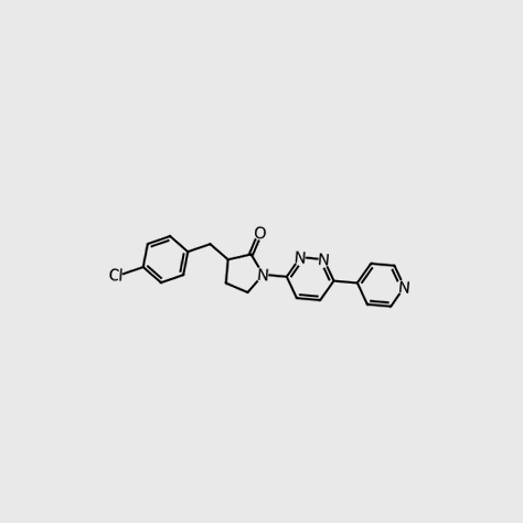 O=C1C(Cc2ccc(Cl)cc2)CCN1c1ccc(-c2ccncc2)nn1